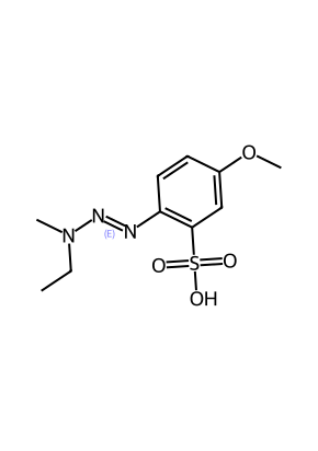 CCN(C)/N=N/c1ccc(OC)cc1S(=O)(=O)O